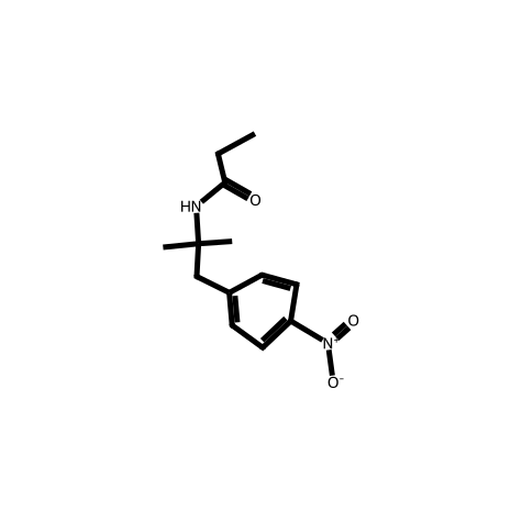 CCC(=O)NC(C)(C)Cc1ccc([N+](=O)[O-])cc1